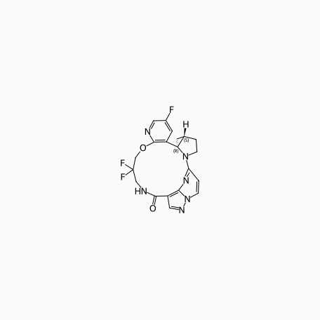 O=C1NCC(F)(F)COc2ncc(F)cc2[C@@]23C[C@@H]2CCN3c2ccn3ncc1c3n2